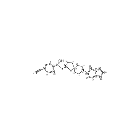 N#Cc1ccc(C(O)CN2CCC3(CCN(c4ccc5nncn5n4)CC3)C2)nc1